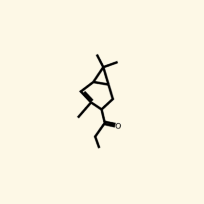 CCC(=O)C1CC2C(C=C1C)C2(C)C